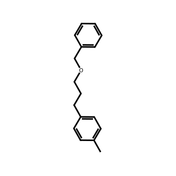 Cc1ccc(CCCOCc2ccccc2)cc1